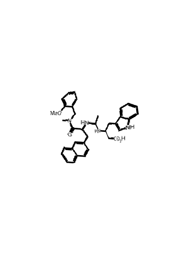 COc1ccccc1CN(C)C(=O)C(Cc1ccc2ccccc2c1)NC(C)N[C@H](CC(=O)O)Cc1c[nH]c2ccccc12